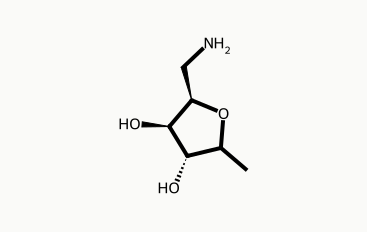 CC1O[C@H](CN)[C@H](O)[C@H]1O